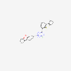 Clc1nc(-c2ccc3c(c2)oc2ccccc23)nc(-c2cccc3c2sc2ccccc23)n1